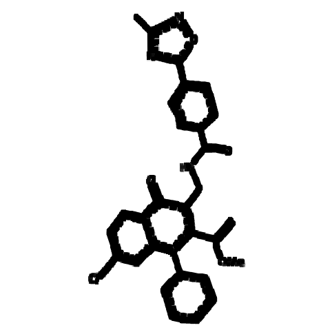 C=C(OC)c1c(CNC(=O)c2ccc(-c3nc(C)no3)cc2)c(=O)c2ccc(Cl)cc2n1-c1ccccc1